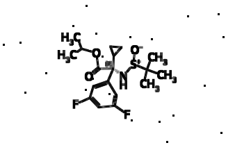 CC(C)OC(=O)[C@](N[S+]([O-])C(C)(C)C)(c1cc(F)cc(F)c1)C1CC1